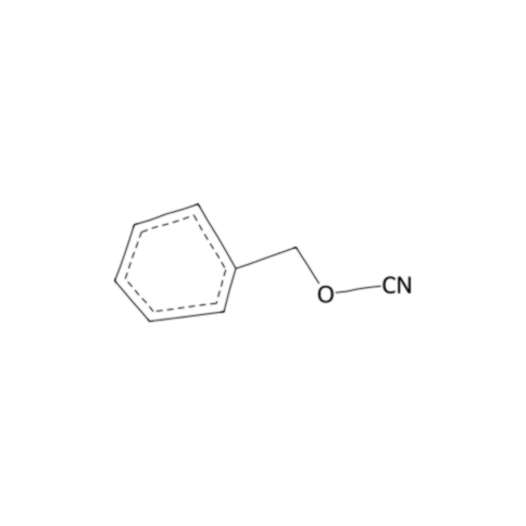 N#COCc1ccccc1